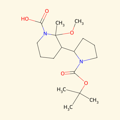 COC1(C)C(C2CCCN2C(=O)OC(C)(C)C)CCCN1C(=O)O